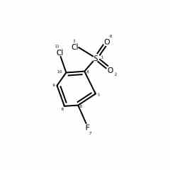 O=S(=O)(Cl)c1cc(F)ccc1Cl